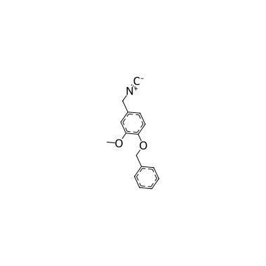 [C-]#[N+]Cc1ccc(OCc2ccccc2)c(OC)c1